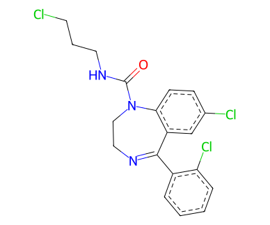 O=C(NCCCCl)N1CCN=C(c2ccccc2Cl)c2cc(Cl)ccc21